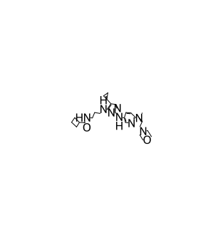 CN(CCN1CCOCC1)c1ccc(Nc2ncc(C3CC3)c(NCCCNC(=O)C3CCC3)n2)cn1